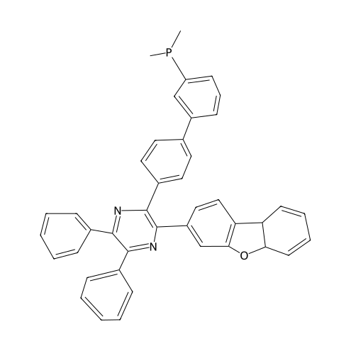 CP(C)c1cccc(-c2ccc(-c3nc(-c4ccccc4)c(-c4ccccc4)nc3-c3ccc4c(c3)OC3C=CC=CC43)cc2)c1